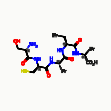 CC(C)C[C@H](NC(=O)[C@@H](NC(=O)[C@@H](CS)NC(=O)[C@@H](N)CO)C(C)C)C(=O)N[C@H](C(=O)O)C(C)C